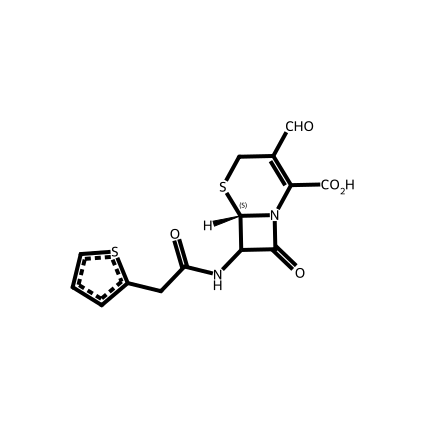 O=CC1=C(C(=O)O)N2C(=O)C(NC(=O)Cc3cccs3)[C@@H]2SC1